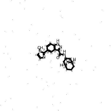 CN1[C@@H]2CCC[C@H]1C[C@@H](NC(=O)c1n[nH]c3ccc(-c4nccn4C)cc13)C2